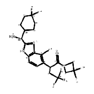 N[C@H](c1nc2c(F)c(C(CC(F)(F)F)C(=O)N3CC(F)(F)C3)ccc2[nH]1)C1CCC(F)(F)CC1